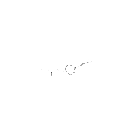 COC(=O)COc1ccc(C#C[Si](C)(C)C)cc1